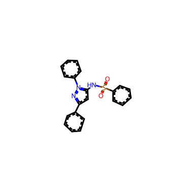 O=S(=O)(Nc1cc(-c2ccccc2)nn1-c1ccccc1)c1ccccc1